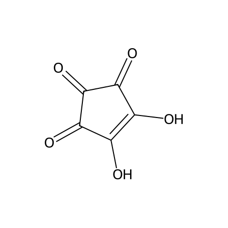 O=c1c(O)c(O)c(=O)c1=O